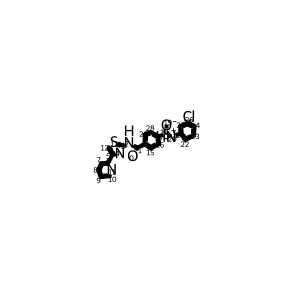 O=C(Nc1nc(-c2ccccn2)cs1)c1ccc([S+]([O-])Nc2cccc(Cl)c2)cc1